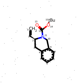 C=C[C@@H]1Cc2ccccc2CN1C(=O)OC(C)(C)C